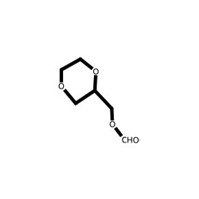 O=[C]OCC1COCCO1